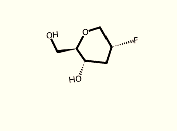 OC[C@H]1OC[C@H](F)C[C@@H]1O